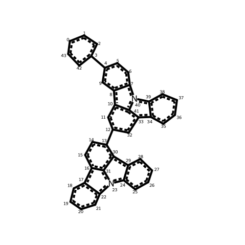 c1ccc(-c2ccc3c(c2)c2cc(-c4ccc5c6ccccc6n6c7ccccc7c4c56)cc4c5ccccc5n3c42)cc1